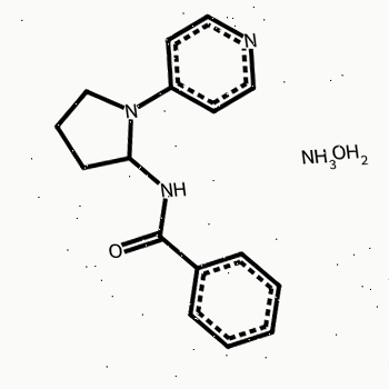 N.O.O=C(NC1CCCN1c1ccncc1)c1ccccc1